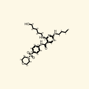 CCCCNc1ncc(C(=O)Nc2ccc(S(=O)(=O)N3CCOCC3)cc2)c(NCCCCCO)n1